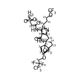 CC12C=CC(OCC(F)(F)C(F)(F)F)=CC1CC[C@@]21Cc2nn(CCCOC(F)(F)F)c(NC(=O)CS(C)(=O)=O)c2C(=O)N1